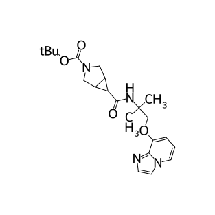 CC(C)(COc1cccn2ccnc12)NC(=O)C1C2CN(C(=O)OC(C)(C)C)CC21